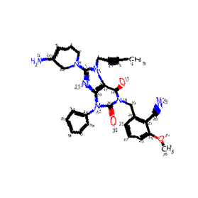 CC#CCn1c(N2CCCC(N)C2)nc2c1c(=O)n(Cc1cccc(OC)c1C#N)c(=O)n2-c1ccccc1